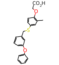 Cc1cc(SCc2cccc(Oc3ccccc3)c2)ccc1OCC(=O)O